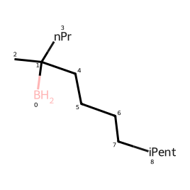 BC(C)(CCC)CCCCC(C)CCC